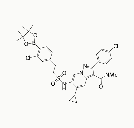 CNC(=O)c1c(-c2ccc(Cl)cc2)nn2cc(NS(=O)(=O)CCc3ccc(B4OC(C)(C)C(C)(C)O4)c(Cl)c3)c(C3CC3)cc12